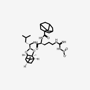 CC(C)C[C@H](NC(=O)[C@H](CCCNC(=N)N[N+](=O)[O-])NC(=O)C12CC3CC(CC(C3)C1)C2)B1O[C@@H]2C[C@@H]3C[C@@H](C3(C)C)[C@]2(C)O1